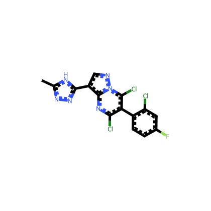 Cc1nnc(-c2cnn3c(Cl)c(-c4ccc(F)cc4Cl)c(Cl)nc23)[nH]1